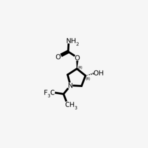 CC(N1C[C@@H](O)[C@H](OC(N)=O)C1)C(F)(F)F